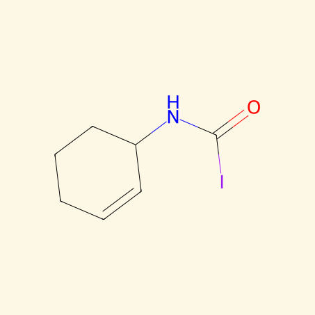 O=C(I)NC1C=CCCC1